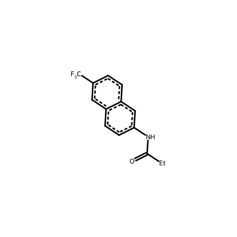 CCC(=O)Nc1ccc2cc(C(F)(F)F)ccc2c1